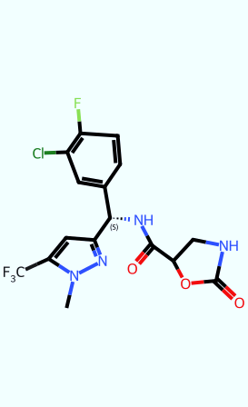 Cn1nc([C@@H](NC(=O)C2CNC(=O)O2)c2ccc(F)c(Cl)c2)cc1C(F)(F)F